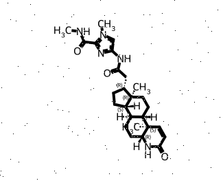 CNC(=O)c1nc(NC(=O)C[C@H]2CC[C@H]3[C@@H]4CC[C@H]5NC(=O)C=C[C@]5(C)[C@H]4CC[C@]23C)cn1C